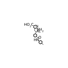 CC(=O)C(Cc1cc(C(=O)O)cnc1N)c1cccc(C(=O)Nc2ccc(C)cc2)c1